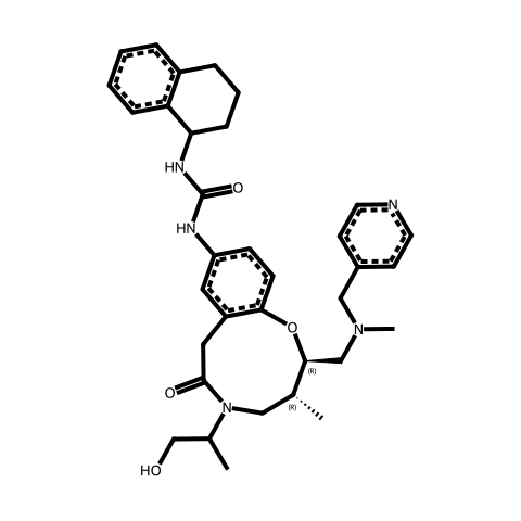 CC(CO)N1C[C@@H](C)[C@H](CN(C)Cc2ccncc2)Oc2ccc(NC(=O)NC3CCCc4ccccc43)cc2CC1=O